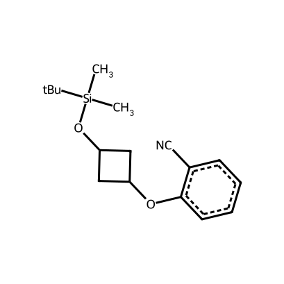 CC(C)(C)[Si](C)(C)OC1CC(Oc2ccccc2C#N)C1